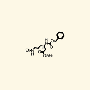 CCNCCC[C@@H](CC(=O)OC)NC(=O)OCc1ccccc1